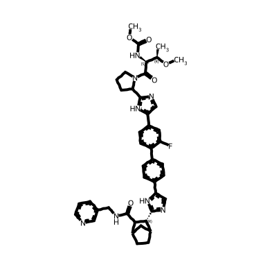 COC(=O)N[C@H](C(=O)N1CCCC1c1ncc(-c2ccc(-c3ccc(-c4cnc([C@@H]5C6CCC(C6)C5C(=O)NCc5cccnc5)[nH]4)cc3)c(F)c2)[nH]1)[C@@H](C)OC